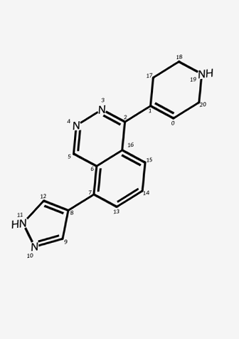 C1=C(c2nncc3c(-c4cn[nH]c4)cccc23)CCNC1